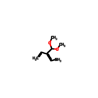 C=CC(=C[SiH3])C(OC)OC